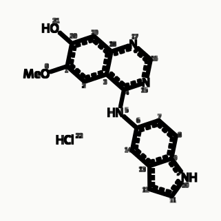 COc1cc2c(Nc3ccc4[nH]ccc4c3)ncnc2cc1O.Cl